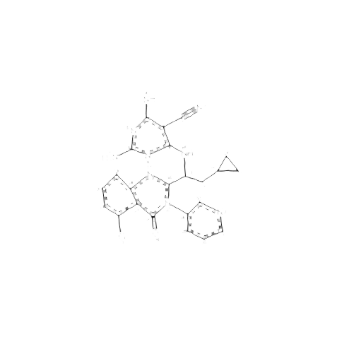 N#Cc1c(N)nc(N)nc1NC(CC1CC1)c1nc2cccc(Cl)c2c(=O)n1-c1cccnc1